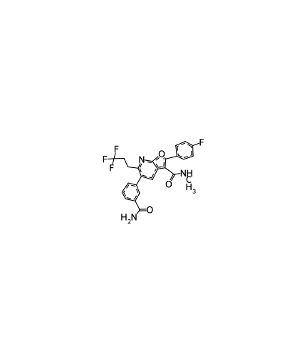 CNC(=O)c1c(-c2ccc(F)cc2)oc2nc(CCC(F)(F)F)c(-c3cccc(C(N)=O)c3)cc12